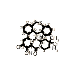 CC1(C)CCN2C(=O)c3c(O)c(=O)ccn3N([C@@H]3c4ccccc4SCc4cccc(F)c43)[C@@H]2C1